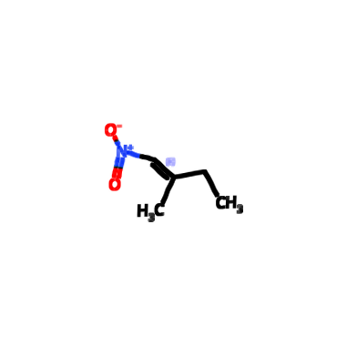 CC/C(C)=C/[N+](=O)[O-]